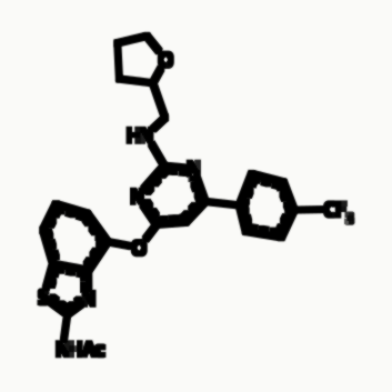 CC(=O)Nc1nc2c(Oc3cc(-c4ccc(C(F)(F)F)cc4)nc(NCC4CCCO4)n3)cccc2s1